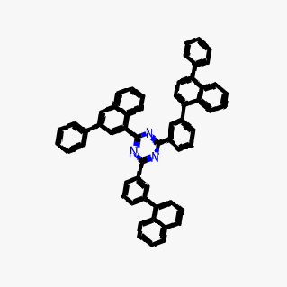 c1ccc(-c2cc(-c3nc(-c4cccc(-c5cccc6ccccc56)c4)nc(-c4cccc(-c5ccc(-c6ccccc6)c6ccccc56)c4)n3)c3ccccc3c2)cc1